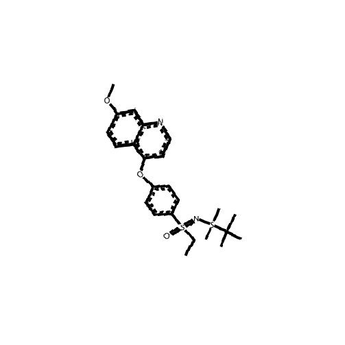 CCS(=O)(=NS(C)(C)C(C)(C)C)c1ccc(Oc2ccnc3cc(OC)ccc23)cc1